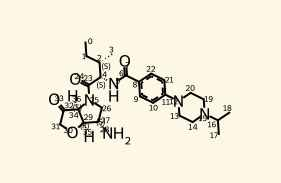 CC[C@H](C)[C@H](NC(=O)c1ccc(N2CCN(C(C)C)CC2)cc1)C(=O)N1C[C@H](N)[C@H]2OCC(=O)[C@H]21